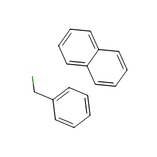 ClCc1ccccc1.c1ccc2ccccc2c1